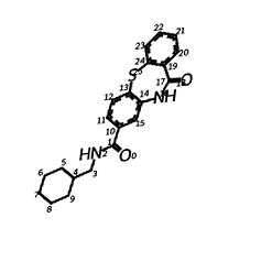 O=C(NCC1CCCCC1)c1ccc2c(c1)NC(=O)c1ccccc1S2